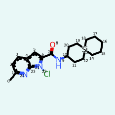 Cc1ccc2cc(C(=O)NC3CC[Si]4(CCCCC4)CC3)n(Cl)c2n1